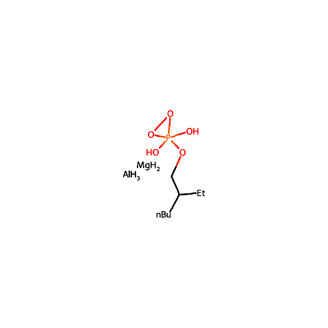 CCCCC(CC)COP1(O)(O)OO1.[AlH3].[MgH2]